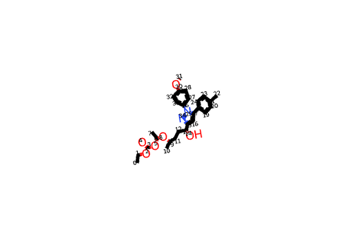 CCOC(=O)OC(C)OC(C)CCC(O)c1cc(-c2ccc(C)cc2)n(-c2ccc(OC)cc2)n1